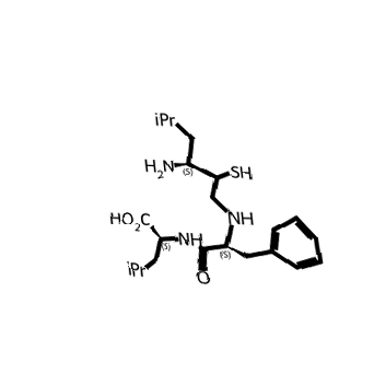 CC(C)C[C@H](NC(=O)[C@H](Cc1ccccc1)NCC(S)[C@@H](N)CC(C)C)C(=O)O